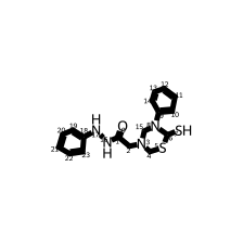 O=C(CN1CSC(S)N(c2ccccc2)C1)NNc1ccccc1